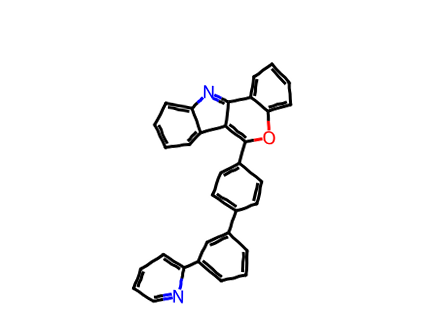 c1ccc(-c2cccc(-c3ccc(-c4oc5ccccc5c5nc6ccccc6c4-5)cc3)c2)nc1